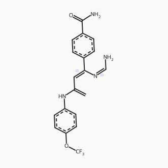 C=C(/C=C(\N=C/N)c1ccc(C(N)=O)cc1)Nc1ccc(OC(F)(F)F)cc1